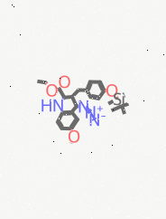 CCOC(=O)C1Nc2ccc(OC)cc2C(N=[N+]=[N-])C1Cc1ccc(O[Si](C)(C)C(C)(C)C)cc1